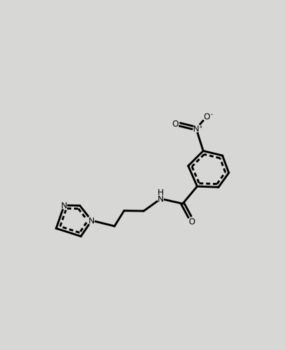 O=C(NCCCn1ccnc1)c1cccc([N+](=O)[O-])c1